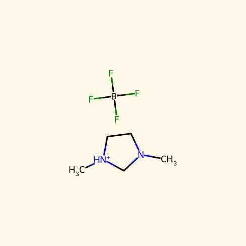 CN1CC[NH+](C)C1.F[B-](F)(F)F